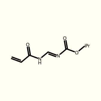 C=CC(=O)NC=NC(=O)OC(C)C